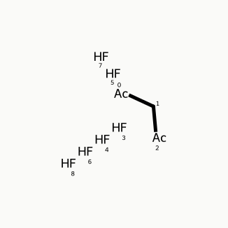 CC(=O)CC(C)=O.F.F.F.F.F.F